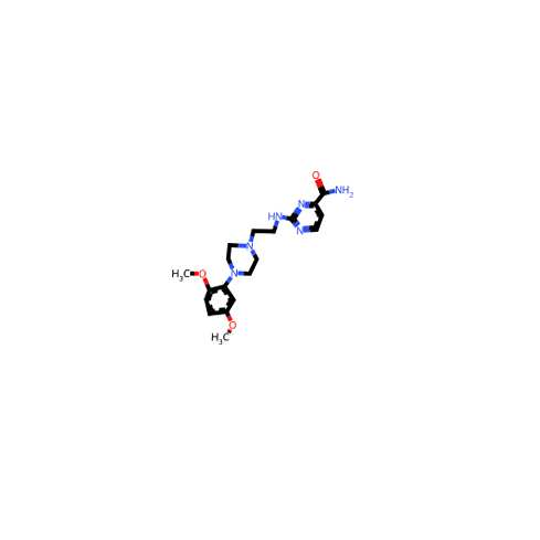 COc1ccc(OC)c(N2CCN(CCNc3nccc(C(N)=O)n3)CC2)c1